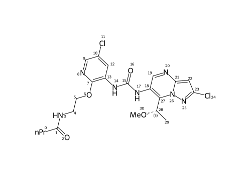 CCCC(=O)NCCOc1ncc(Cl)cc1NC(=O)Nc1cnc2cc(Cl)nn2c1[C@H](C)OC